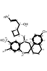 CCC/C=C/[C@H](O)[C@@H]1CC[C@H]1CN1CC2(CCCc3cc(Cl)ccc32)COc2cc(F)c(C(=O)O)cc21